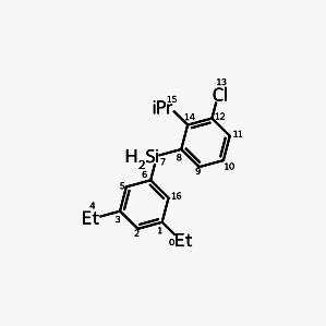 CCc1cc(CC)cc([SiH2]c2cccc(Cl)c2C(C)C)c1